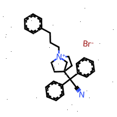 N#CC(c1ccccc1)(c1ccccc1)C12CC[N+](CCCc3ccccc3)(CC1)C2.[Br-]